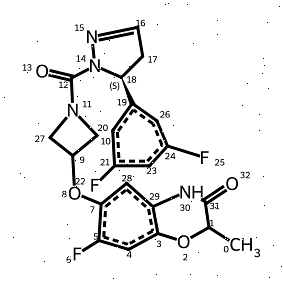 CC1Oc2cc(F)c(OC3CN(C(=O)N4N=CC[C@H]4c4cc(F)cc(F)c4)C3)cc2NC1=O